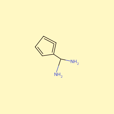 NC(N)C1=C=CC=C1